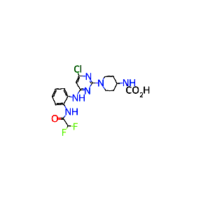 O=C(O)NC1CCN(c2nc(Cl)cc(Nc3ccccc3NC(=O)C(F)F)n2)CC1